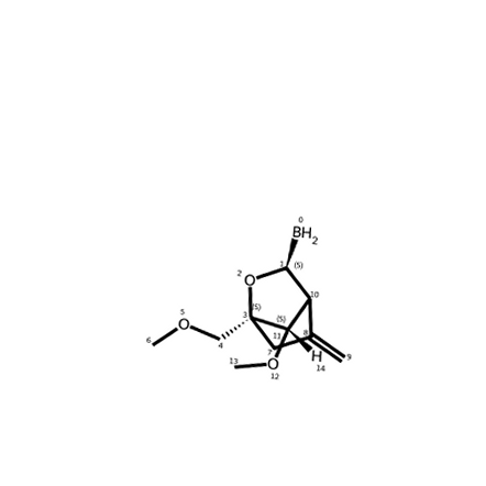 B[C@@H]1O[C@]2(COC)CC(=C)C1[C@@H]2OC